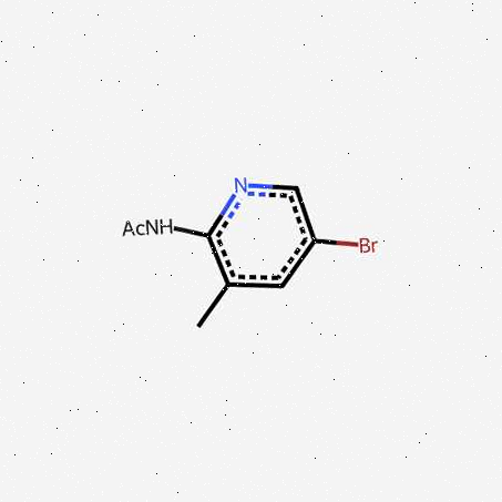 CC(=O)Nc1ncc(Br)cc1C